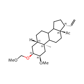 C=C[C@H]1CCC2C3CC[C@H]4C[C@H](OCOC)[C@H](OC)C[C@]4(C)C3CC[C@]21C(C)=O